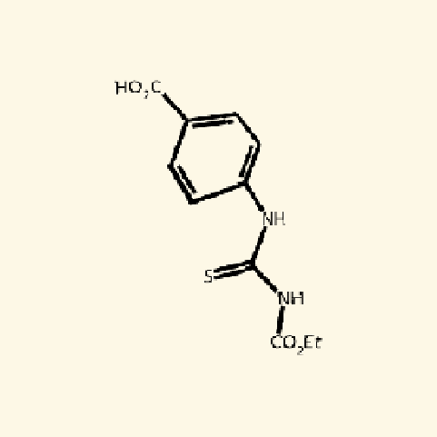 CCOC(=O)NC(=S)Nc1ccc(C(=O)O)cc1